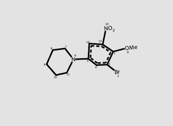 COc1c(Br)cc(N2CCCCC2)cc1[N+](=O)[O-]